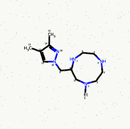 CCN1CCNCCNC(Cn2cc(C)c(C)n2)C1